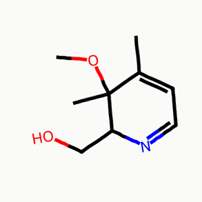 COC1(C)C(C)=CC=NC1CO